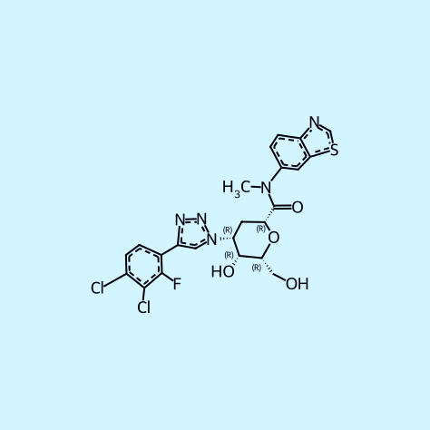 CN(C(=O)[C@H]1C[C@@H](n2cc(-c3ccc(Cl)c(Cl)c3F)nn2)[C@@H](O)[C@@H](CO)O1)c1ccc2ncsc2c1